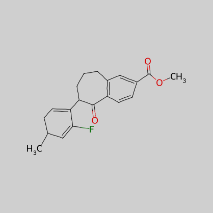 COC(=O)c1ccc2c(c1)CCCC(C1=CCC(C)C=C1F)C2=O